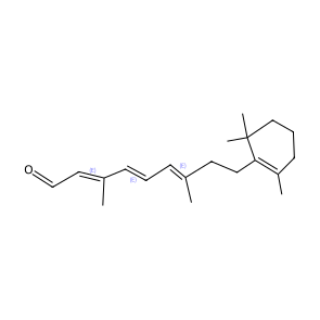 CC1=C(CC/C(C)=C/C=C/C(C)=C/C=O)C(C)(C)CCC1